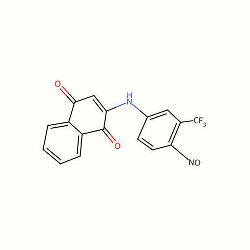 O=Nc1ccc(NC2=CC(=O)c3ccccc3C2=O)cc1C(F)(F)F